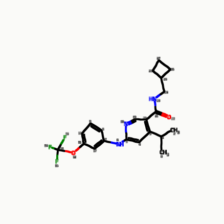 CC(C)c1cc(Nc2cccc(OC(F)(F)F)c2)ncc1C(=O)NCC1CCC1